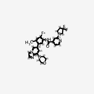 Cc1cc(F)c(NC(=O)c2ccnc(N3CCC(F)(F)C3)c2)cc1-c1cc(N2CCOCC2)c2nccn2c1